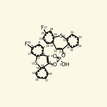 O=P(O)(OC1=Cc2ccc(F)cc2Sc2ccccc21)OC1=Cc2ccc(F)cc2Sc2ccccc21